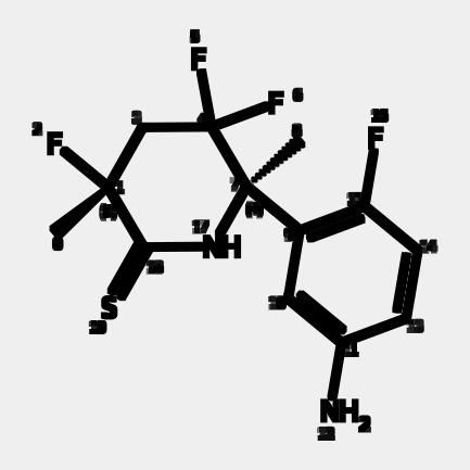 C[C@@]1(F)CC(F)(F)[C@@](C)(c2cc(N)ccc2F)NC1=S